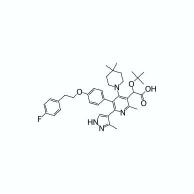 Cc1n[nH]cc1-c1nc(C)c(C(OC(C)(C)C)C(=O)O)c(N2CCC(C)(C)CC2)c1-c1ccc(OCCc2ccc(F)cc2)cc1